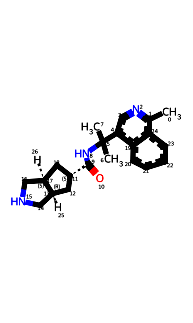 Cc1ncc(C(C)(C)NC(=O)[C@@H]2C[C@H]3CNC[C@H]3C2)c2ccccc12